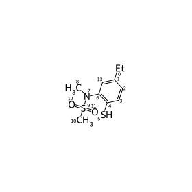 CCc1ccc(S)c(N(C)S(C)(=O)=O)c1